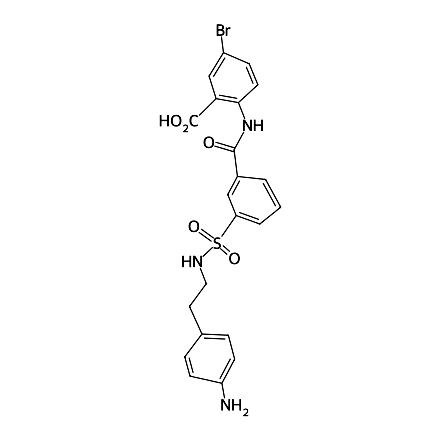 Nc1ccc(CCNS(=O)(=O)c2cccc(C(=O)Nc3ccc(Br)cc3C(=O)O)c2)cc1